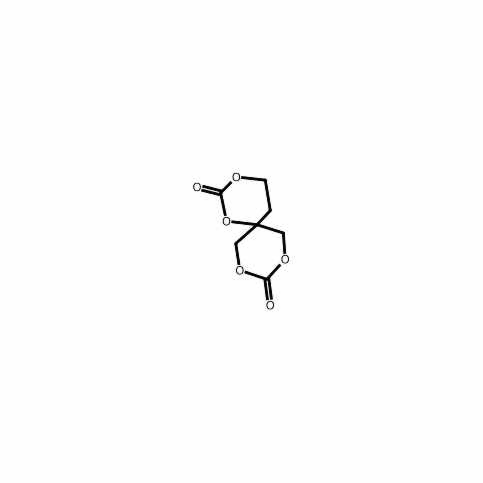 O=C1OCC2(CCOC(=O)O2)CO1